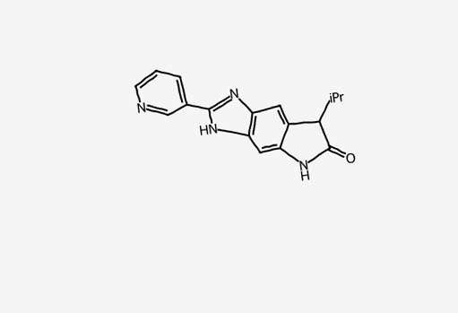 CC(C)C1C(=O)Nc2cc3[nH]c(-c4cccnc4)nc3cc21